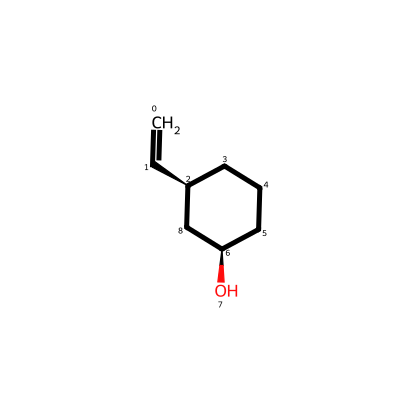 C=C[C@H]1CCC[C@@H](O)C1